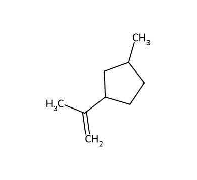 C=C(C)C1CCC(C)C1